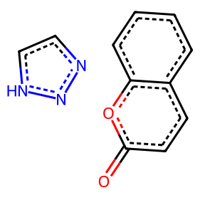 O=c1ccc2ccccc2o1.c1c[nH]nn1